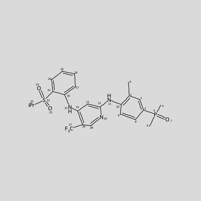 Cc1cc(P(C)(C)=O)ccc1Nc1cc(Nc2ccccc2S(=O)(=O)C(C)C)c(C(F)(F)F)cn1